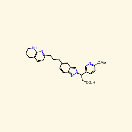 COc1ccc(C(CC(=O)O)n2cc3cc(CCCc4ccc5c(n4)NCCC5)ccc3n2)cn1